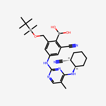 Cc1cnc(Nc2cc(C#N)c(B(O)O)c(CO[Si](C)(C)C(C)(C)C)c2)nc1N[C@@H]1CCCC[C@H]1C#N